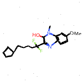 COc1ccc2c(c1)N(C)C(O)C(C(F)(F)CCCCC1CCCC1)=N2